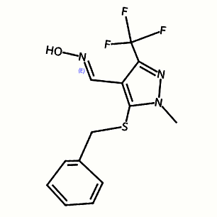 Cn1nc(C(F)(F)F)c(/C=N/O)c1SCc1ccccc1